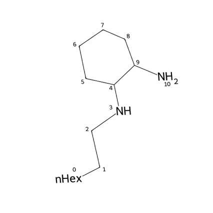 CCCCCCCCNC1CCCCC1N